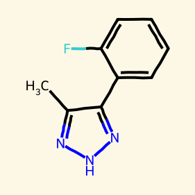 Cc1n[nH]nc1-c1ccccc1F